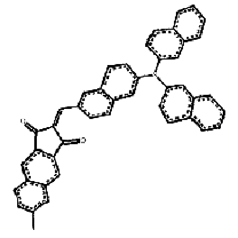 Cc1ccc2cc3c(cc2c1)C(=O)/C(=C\c1ccc2cc(N(c4ccc5ccccc5c4)c4ccc5ccccc5c4)ccc2c1)C3=O